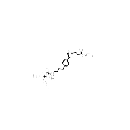 COC(=O)CCc1ncc(-c2ccc(CCCCNC(=O)OC(C)(C)C)cc2)s1